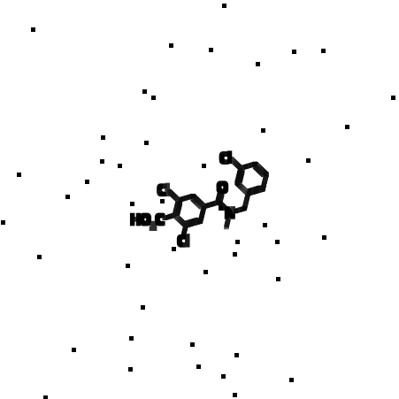 CN(Cc1cccc(Cl)c1)C(=O)c1cc(Cl)c(C(=O)O)c(Cl)c1